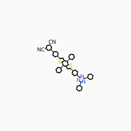 N#Cc1cc(C#N)cc(-c2ccc(-c3cc4c(-c5ccccc5)c5sc(-c6ccc(-c7nc(-c8ccccc8)nc(-c8ccccc8)n7)cc6)cc5c(-c5ccccc5)c4s3)cc2)c1